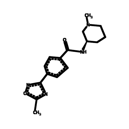 Cc1nc(-c2ccc(C(=O)N[C@@H]3CCCN(C)C3)cc2)no1